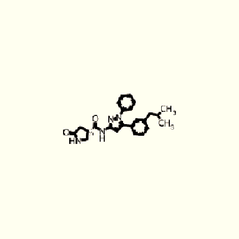 CC(C)Cc1cccc(-c2cc(NC(=O)[C@@H]3CNC(=O)C3)nn2-c2ccccc2)c1